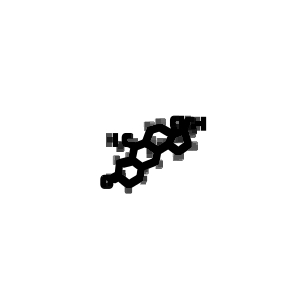 CC1C2=CC(=O)CCC2CC2C1CCC1(C)C(O)CCC21